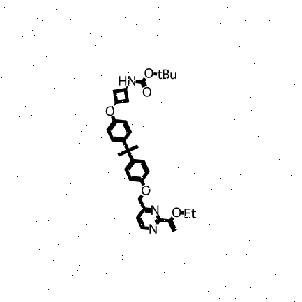 C=C(OCC)c1nccc(COc2ccc(C(C)(C)c3ccc(O[C@H]4C[C@@H](NC(=O)OC(C)(C)C)C4)cc3)cc2)n1